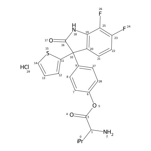 CC(C)C(N)C(=O)Oc1ccc(C2(c3cccs3)C(=O)Nc3c2ccc(F)c3F)cc1.Cl